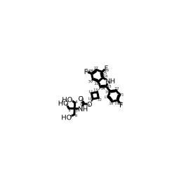 O=C(NC(CO)(CO)CO)O[C@H]1C[C@H](c2c(-c3ccc(F)cc3)[nH]c3c(F)cc(F)cc32)C1